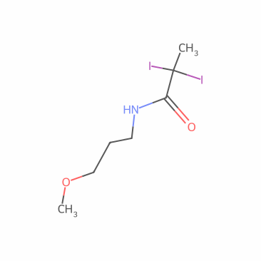 COCCCNC(=O)C(C)(I)I